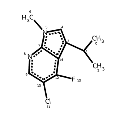 CC(C)c1cn(C)c2ncc(Cl)c(F)c12